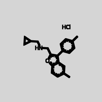 Cc1ccc(-c2c(CNCC3CC3)oc3ccc(C)cc23)cc1.Cl